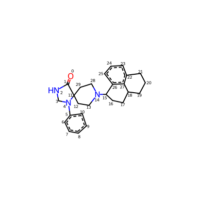 O=C1NCN(c2ccccc2)C12CCN(C1CCC3CCCc4cccc1c43)CC2